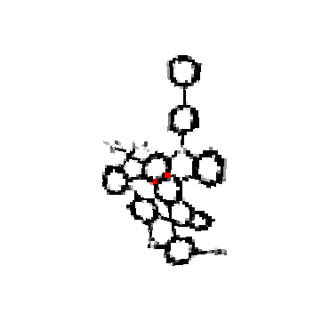 CC(C)(C)c1ccc2c(c1)C1(c3cc(C(C)(C)C)ccc3O2)c2ccccc2-c2c(-c3ccccc3N(c3ccc(-c4ccccc4)cc3)c3ccc4c(c3)C(C)(C)c3ccccc3-4)cccc21